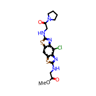 COC(=O)CNc1nc2c(Cl)c3nc(NCC(=O)N4CCCC4)sc3cc2s1